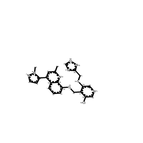 Cc1cc(-c2ccnn2C)c2cccc(OCc3c(Cl)cncc3SCc3ncon3)c2n1